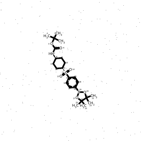 CC(C)(C)OC(=O)N[C@H]1CC[C@H](S(=O)(=O)c2ccc(B3OC(C)(C)C(C)(C)O3)cc2)CC1